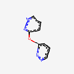 c1cnnc(Oc2cccnn2)c1